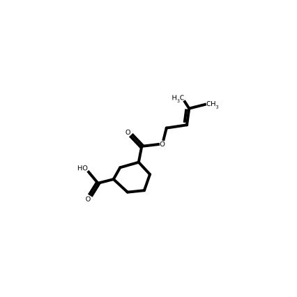 CC(C)=CCOC(=O)C1CCCC(C(=O)O)C1